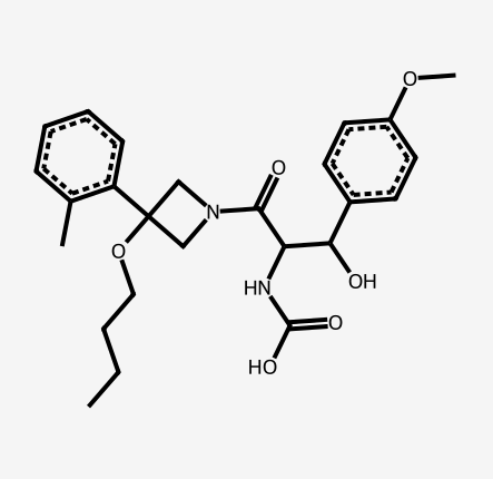 CCCCOC1(c2ccccc2C)CN(C(=O)C(NC(=O)O)C(O)c2ccc(OC)cc2)C1